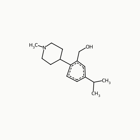 CC(C)c1ccc(C2CCN(C)CC2)c(CO)c1